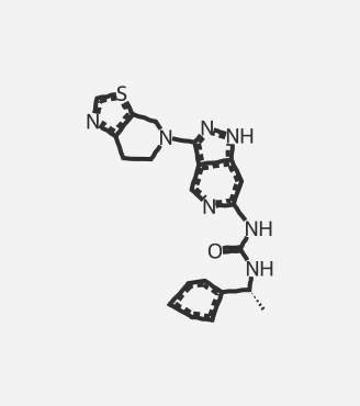 C[C@@H](NC(=O)Nc1cc2[nH]nc(N3CCc4ncsc4C3)c2cn1)c1ccccc1